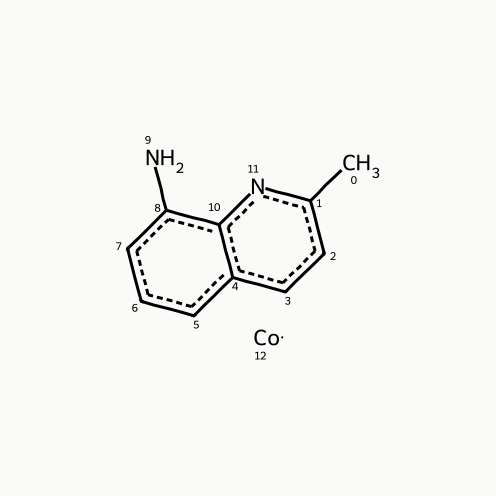 Cc1ccc2cccc(N)c2n1.[Co]